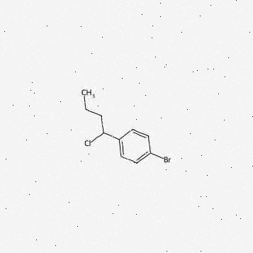 CCCC(Cl)c1ccc(Br)cc1